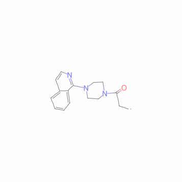 [CH2]CC(=O)N1CCN(c2nccc3ccccc23)CC1